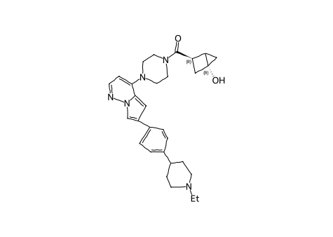 CCN1CCC(c2ccc(-c3cc4c(N5CCN(C(=O)[C@@H]6C[C@]7(O)CC67)CC5)ccnn4c3)cc2)CC1